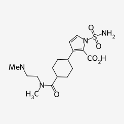 CNCCN(C)C(=O)C1CCC(c2ccn(S(N)(=O)=O)c2C(=O)O)CC1